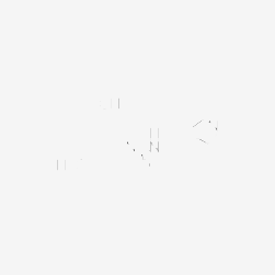 CCCCCN(CCCCC)C(=O)NCCCc1ccncc1